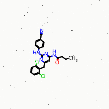 CCCC(=O)Nc1cc(Cc2c(Cl)cccc2Cl)nc(Nc2ccc(C#N)cc2)n1